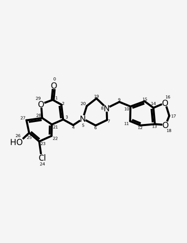 O=c1cc(CN2CCN(Cc3ccc4c(c3)OCO4)CC2)c2cc(Cl)c(O)cc2o1